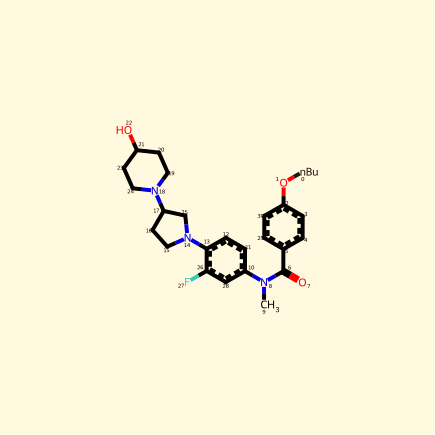 CCCCOc1ccc(C(=O)N(C)c2ccc(N3CCC(N4CCC(O)CC4)C3)c(F)c2)cc1